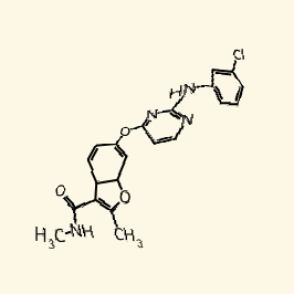 CNC(=O)C1=C(C)OC2C=C(Oc3ccnc(Nc4cccc(Cl)c4)n3)C=CC12